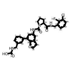 O=C(O)NCc1cccc(-c2cc(NC(=O)N3CCCC3C(=O)NCc3cccc(Cl)c3F)cc3ccoc23)c1